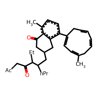 CCCC(CC1CC(=O)c2c(C)ccc(/C3=C/C=C(/C)C/C=C\C=C/C3)c2C1)C(CC)C(=O)CC(C)=O